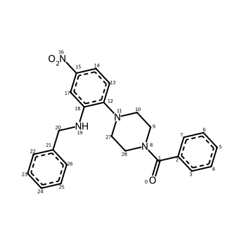 O=C(c1ccccc1)N1CCN(c2ccc([N+](=O)[O-])cc2NCc2ccccc2)CC1